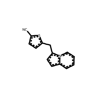 N#Cc1ccc(Cc2ccc3ccccn23)s1